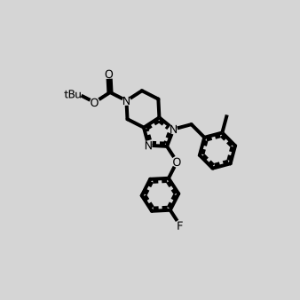 Cc1ccccc1Cn1c(Oc2cccc(F)c2)nc2c1CCN(C(=O)OC(C)(C)C)C2